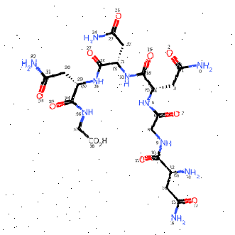 NC(=O)C[C@H](NC(=O)CNC(=O)[C@@H](N)CC(N)=O)C(=O)N[C@@H](CC(N)=O)C(=O)N[C@@H](CC(N)=O)C(=O)NCC(=O)O